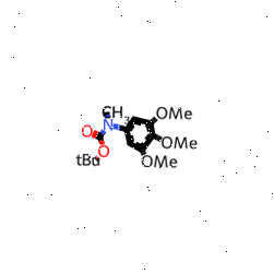 COc1cc(N(C)C(=O)OC(C)(C)C)cc(OC)c1OC